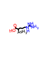 N=C(N)NCCCC([AsH2])C(=O)O